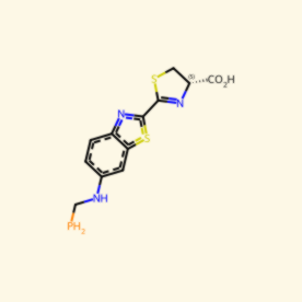 O=C(O)[C@H]1CSC(c2nc3ccc(NCP)cc3s2)=N1